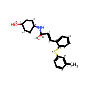 Cc1cccc(Sc2ccccc2C=CC(=O)NC2CCC(O)CC2)c1